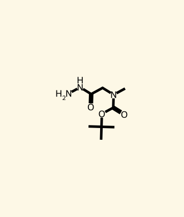 CN(CC(=O)NN)C(=O)OC(C)(C)C